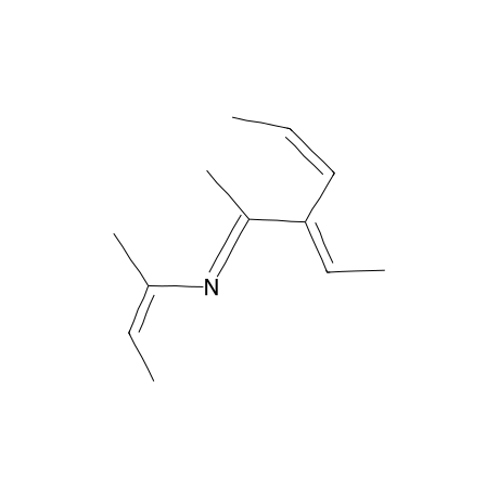 C\C=C/C(=C\C)C(/C)=N/C(C)=C\C